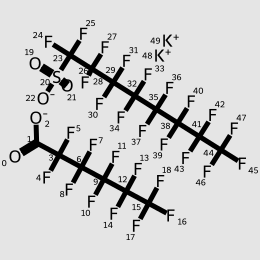 O=C([O-])C(F)(F)C(F)(F)C(F)(F)C(F)(F)C(F)(F)F.O=S(=O)([O-])C(F)(F)C(F)(F)C(F)(F)C(F)(F)C(F)(F)C(F)(F)C(F)(F)C(F)(F)F.[K+].[K+]